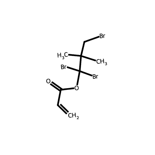 C=CC(=O)OC(Br)(Br)C(C)(C)CBr